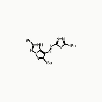 CC(C)c1nn2nc(C(C)(C)C)c(N=Nc3nnc(C(C)(C)C)s3)c2[nH]1